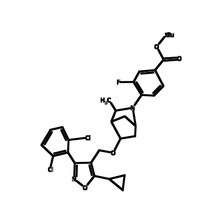 CC1C2CC(CC2OCc2c(-c3c(Cl)cccc3Cl)noc2C2CC2)N1c1ccc(C(=O)OC(C)(C)C)cc1F